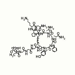 CCCCCCCC(=O)OC(C)C(=O)NCC(=O)NCC(=O)NCC(=O)N[C@H]1CSSC[C@@H](C(=O)N2CCC[C@H]2C(=O)NC(CCCCN)C(=O)NCC(N)=O)NC(=O)[C@H](CC(N)=O)NC(=O)[C@H](CCC(N)=O)NC(=O)[C@H](Cc2ccccc2)NC(=O)[C@@H](Cc2ccc(O)cc2)NC1=O